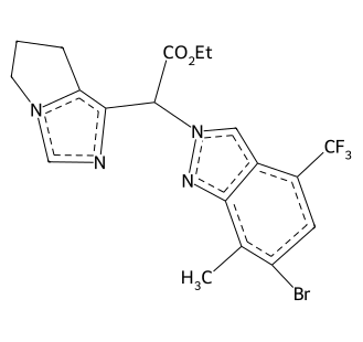 CCOC(=O)C(c1ncn2c1CCC2)n1cc2c(C(F)(F)F)cc(Br)c(C)c2n1